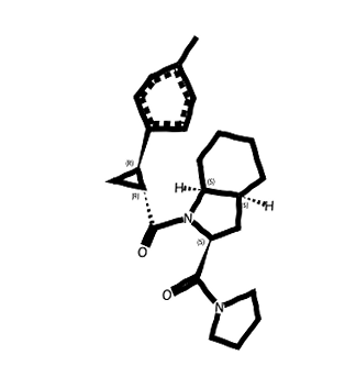 Cc1ccc([C@@H]2C[C@H]2C(=O)N2[C@H](C(=O)N3CCCC3)C[C@@H]3CCCC[C@@H]32)cc1